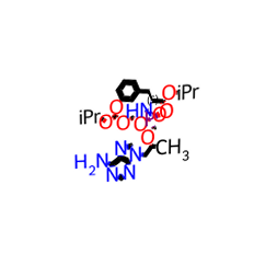 CC(C)OC(=O)OCOP(=O)(COC(C)Cn1cnc2c(N)ncnc21)N[C@@H](Cc1ccccc1)C(=O)OC(C)C